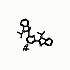 CC(C)n1c(-c2cccc(-c3nc4ccccc4n3C(C)C)n2)nc2ccccc21.[Cl-].[Cl-].[Fe+2]